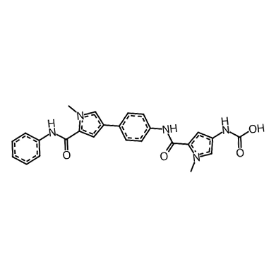 Cn1cc(NC(=O)O)cc1C(=O)Nc1ccc(-c2cc(C(=O)Nc3ccccc3)n(C)c2)cc1